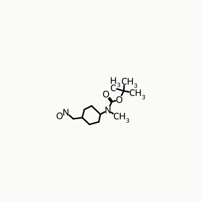 CN(C(=O)OC(C)(C)C)C1CCC(CN=O)CC1